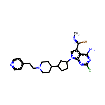 C/N=C(\S)c1cn(C2CCC(C3CCN(CCc4ccncc4)CC3)C2)c2nc(Cl)nc(N)c12